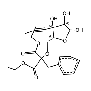 CC#C[C@@]1(O)[C@@H](COC(Cc2ccccc2)(C(=O)OCC)C(=O)OCC)OC(O)[C@@H]1O